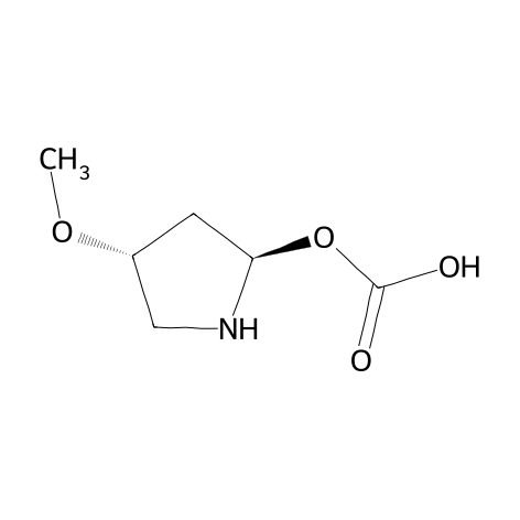 CO[C@H]1CN[C@H](OC(=O)O)C1